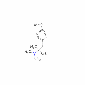 [CH2]C(C)(Cc1ccc(OC)cc1)N(C)C